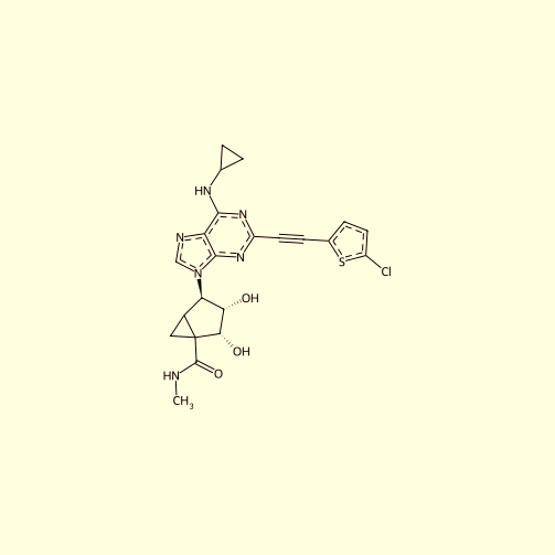 CNC(=O)C12CC1[C@@H](n1cnc3c(NC4CC4)nc(C#Cc4ccc(Cl)s4)nc31)[C@H](O)[C@@H]2O